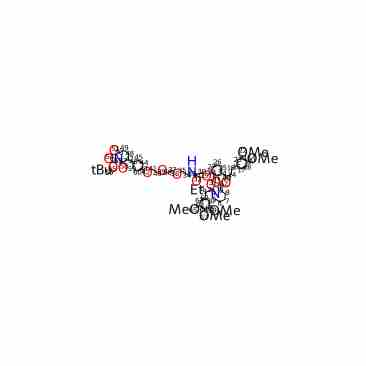 CCC(C(=O)N1CCCCC1C(=O)O[C@H](CCc1ccc(OC)c(OC)c1)c1cccc(OCC(=O)NCCOCCOCCOc2ccc(C3CCC(=O)N(C(=O)OC(C)(C)C)C3=O)cc2)c1)c1cc(OC)c(OC)c(OC)c1